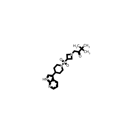 CC(C)(C)C(=O)CN1CC(S(=O)(=O)N2CCC(c3c[nH]c4ncccc34)CC2)C1